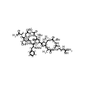 CC[C@@H](C)[C@@H](NC(=O)[C@@H](CCC(N)=O)NC(=O)[C@H](CO)NC(=O)[C@@H](NC(=O)[C@@H](Cc1ccccc1)NC)[C@@H](C)CC)C(=O)N[C@H](C(=O)N[C@@H](C)C(=O)N[C@H]1C(=O)N[C@@H](C)C(=O)N[C@@H](CCCNC(=N)N)C(=O)N[C@@H]([C@@H](C)CC)C(=O)O[C@H]1C)[C@@H](C)CC